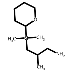 CC(CN)C[Si](C)(C)C1CCCCO1